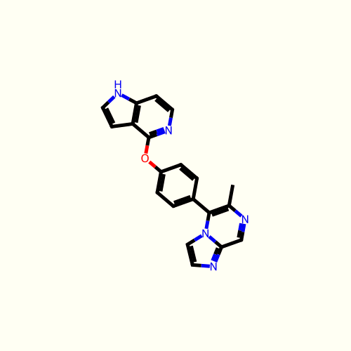 Cc1ncc2nccn2c1-c1ccc(Oc2nccc3[nH]ccc23)cc1